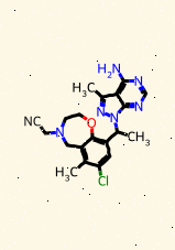 Cc1c(Cl)cc(C(C)n2nc(C)c3c(N)ncnc32)c2c1CN(CC#N)CCO2